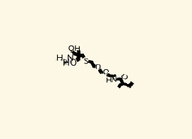 CCC(C)C(=O)NCCOCOCCSCC(C)(CO)C(N)O